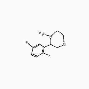 CN1CCOCC1c1cc(F)ccc1F